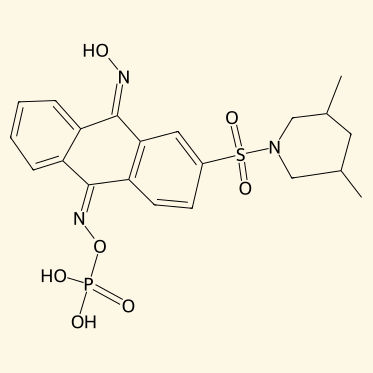 CC1CC(C)CN(S(=O)(=O)c2ccc3c(c2)/C(=N/O)c2ccccc2/C3=N/OP(=O)(O)O)C1